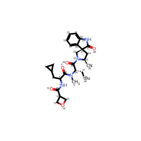 CN(C(=O)C(CC1CC1)NC(=O)C1COC1)[C@@H](CC(C)(C)C)C(=O)N1C[C@]2(C[C@H]1C#N)C(=O)Nc1ccccc12